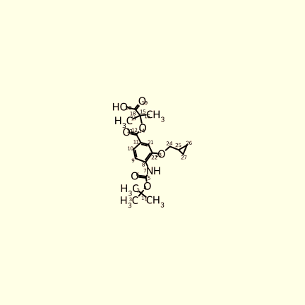 CC(C)(C)OC(=O)Nc1ccc(C(=O)OC(C)(C)C(=O)O)cc1OCC1CC1